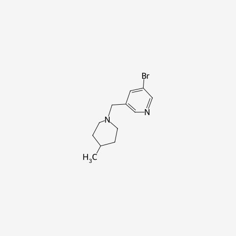 CC1CCN(Cc2cncc(Br)c2)CC1